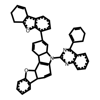 C1=CCCC(c2nc(N3C4=C(C5C=CC(c6cccc7c8c(oc67)CCC=C8)=CC53)C3Oc5ccccc5C3C=C4)nc3ccccc23)=C1